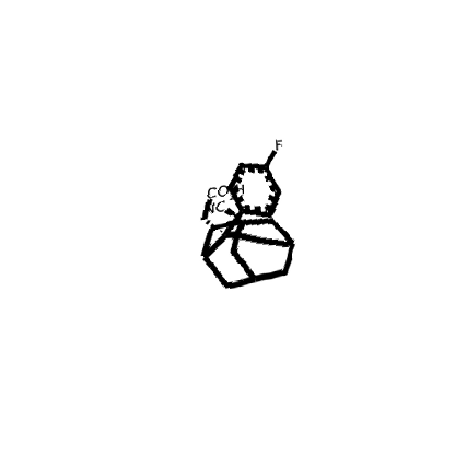 N#C[C@]12CC3CC(C1)[C@](CC(=O)O)(c1ccc(F)cc1)C(C3)C2